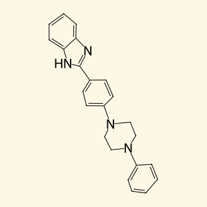 c1ccc(N2CCN(c3ccc(-c4nc5ccccc5[nH]4)cc3)CC2)cc1